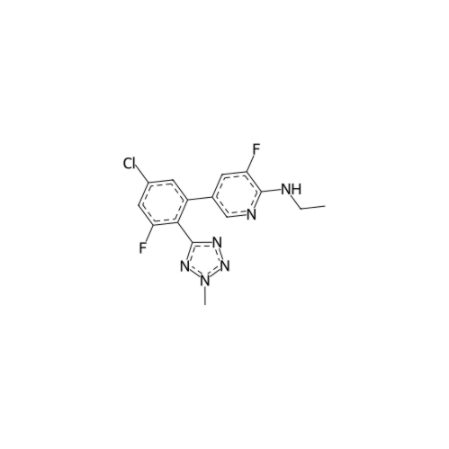 CCNc1ncc(-c2cc(Cl)cc(F)c2-c2nnn(C)n2)cc1F